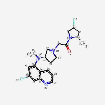 C[C@@H]1C[C@H](F)CN1C(=O)CN1CC[C@H](N(C)c2cc(F)cc3ncccc23)C1